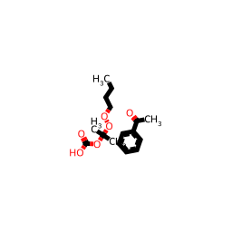 CC(=O)c1ccccc1.CCCCOOC(C)(C)OC(=O)O